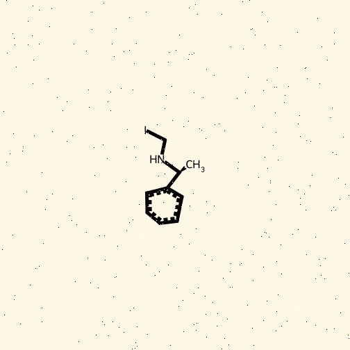 C[C@H](NCI)c1ccccc1